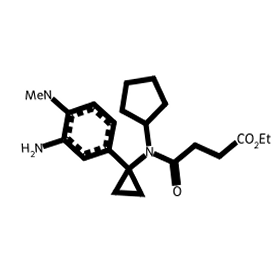 CCOC(=O)CCC(=O)N(C1CCCC1)C1(c2ccc(NC)c(N)c2)CC1